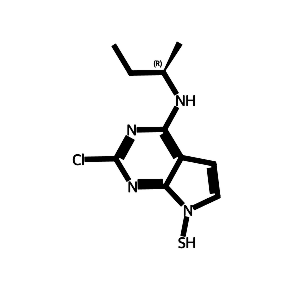 CC[C@@H](C)Nc1nc(Cl)nc2c1ccn2S